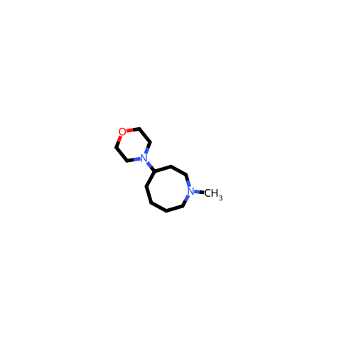 CN1CCCCC(N2CCOCC2)CC1